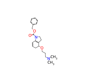 CN(C)CCCOC1CC=CC2=C1CCN2C(=O)OCc1ccccc1